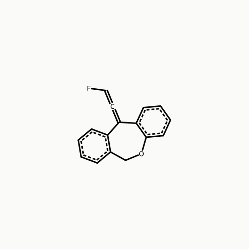 FC=C=C1c2ccccc2COc2ccccc21